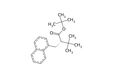 CC(C)(C)OC(=O)[C@@H](Cc1cccc2ccccc12)C(C)(C)C